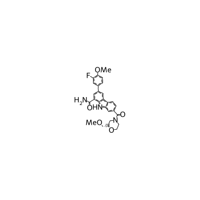 COC[C@@H]1CN(C(=O)c2ccc3c(c2)[nH]c2c(C(N)=O)cc(-c4ccc(OC)c(F)c4)cc23)CCO1